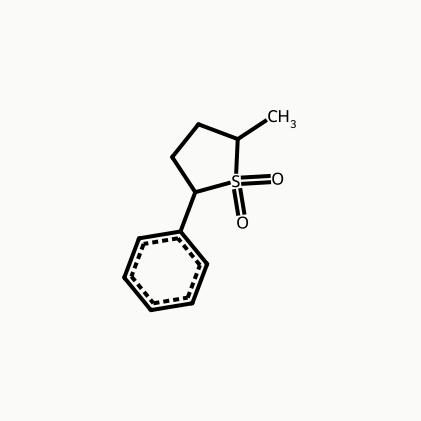 CC1CCC(c2ccccc2)S1(=O)=O